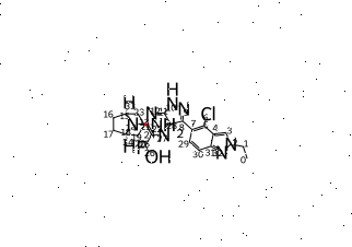 CCn1cc2c(Cl)c(-c3n[nH]c4nc(N5[C@H]6CC[C@@H]5[C@@H](F)[C@@H](N)C6)c(CO)nc34)ccc2n1